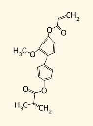 C=CC(=O)Oc1ccc(-c2ccc(OC(=O)C(=C)C)cc2)c(OC)c1